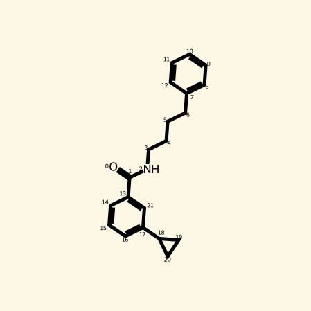 O=C(NCCCCc1ccccc1)c1cccc(C2CC2)c1